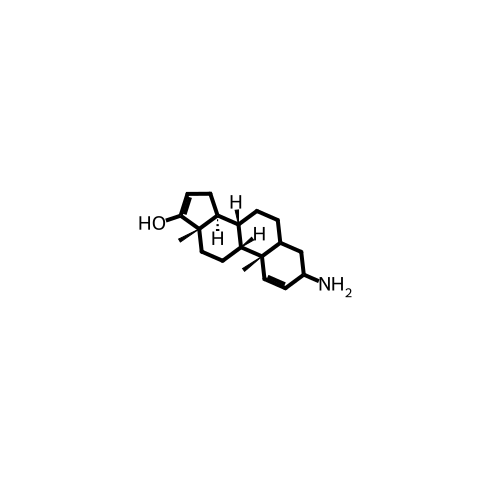 C[C@]12C=CC(N)CC1CC[C@@H]1[C@H]2CC[C@]2(C)C(O)=CC[C@@H]12